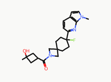 Cn1ccc2ccc(C3(F)CCC4(CC3)CN(C(=O)C3CC(C)(O)C3)C4)nc21